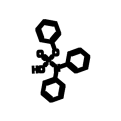 O=P(O)(Oc1ccccc1)N(c1ccccc1)c1ccccc1